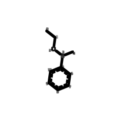 CCOB(C)c1ccccc1